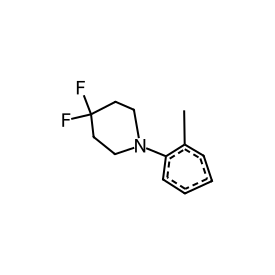 Cc1ccccc1N1CCC(F)(F)CC1